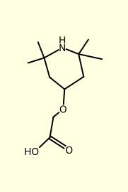 CC1(C)CC(OCC(=O)O)CC(C)(C)N1